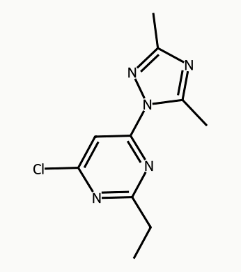 CCc1nc(Cl)cc(-n2nc(C)nc2C)n1